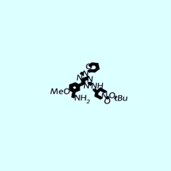 COc1ccc(-c2nc(NCC3CCN(C(=O)OC(C)(C)C)CC3)nc3c2ncn3C2CCCCO2)cc1CN